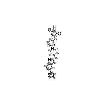 O=C1NC(=O)/C(=C/c2ccnc(N3CCC(CNCc4ccnc(-c5cccs5)c4)CC3)n2)S1